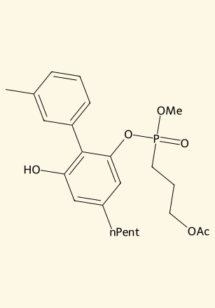 CCCCCc1cc(O)c(-c2cccc(C)c2)c(OP(=O)(CCCOC(C)=O)OC)c1